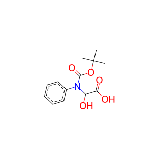 CC(C)(C)OC(=O)N(c1ccccc1)C(O)C(=O)O